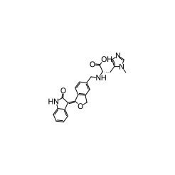 Cn1cncc1C[C@H](NCc1ccc2c(c1)CO/C2=C1/C(=O)Nc2ccccc21)C(=O)O